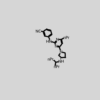 CCCc1cc(N2CC[C@H](NC(CCC)CCC)C2)nc(Nc2cccc(C#N)c2)n1